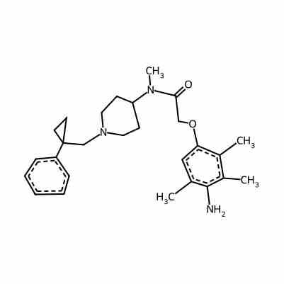 Cc1cc(OCC(=O)N(C)C2CCN(CC3(c4ccccc4)CC3)CC2)c(C)c(C)c1N